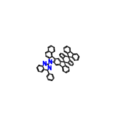 c1ccc(-c2nc(-n3c4cc5c(cc4c4c6ccccc6ccc43)C3(c4ccccc4-5)c4ccccc4C4(c5ccccc5-c5ccccc54)c4ccccc43)nc3ccccc23)cc1